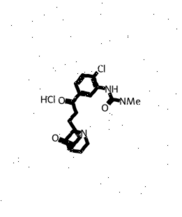 CNC(=O)Nc1cc(C(=O)CCC2C(=O)C3CCN2CC3)ccc1Cl.Cl